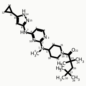 CN(c1nccc(Nc2cc(C3CC3)[nH]n2)n1)C1CCN(C(=O)C(C)(C)CC(C)(C)C)CC1